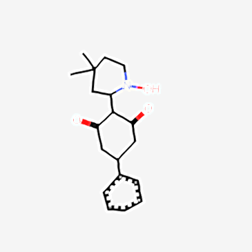 CC1(C)CCN(O)C(C2C(=O)CC(c3ccccc3)CC2=O)C1